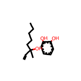 C=CC(C)(O)CCCCC.Oc1ccccc1O